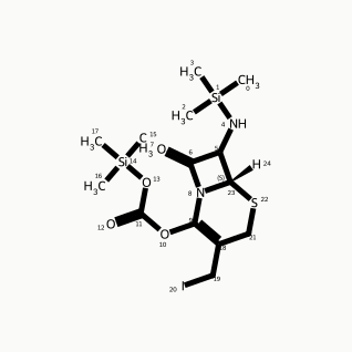 C[Si](C)(C)NC1C(=O)N2C(OC(=O)O[Si](C)(C)C)=C(CI)CS[C@@H]12